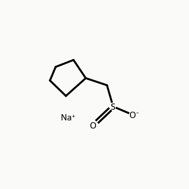 O=S([O-])CC1CCCC1.[Na+]